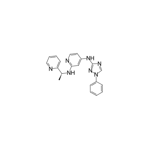 C[C@H](Nc1cc(Nc2ncn(-c3ccccc3)n2)ccn1)c1ccccn1